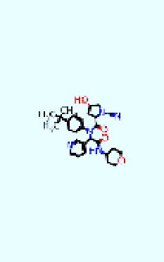 CC(C)(C)c1ccc(N(C(=O)[C@H]2C[C@@H](O)CN2C#N)C(C(=O)NC2CCOCC2)c2cccnc2)cc1